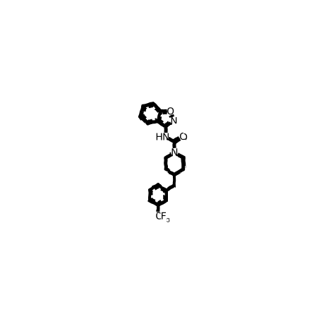 O=C(Nc1noc2ccccc12)N1CCC(Cc2cccc(C(F)(F)F)c2)CC1